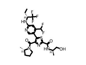 CC[C@@H](Nc1cc(C(F)F)c(-c2sc(C(=O)N[C@H](C)CO)nc2C(=O)N2CCC[C@@H]2C)cn1)C(F)(F)F